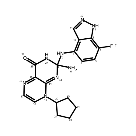 NC1(Nc2ccc(F)c3[nH]ncc23)N=C2C(=NC=CN2C2CCCC2)C(=O)N1